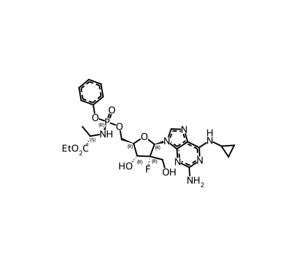 CCOC(=O)[C@H](C)N[P@@](=O)(OC[C@H]1O[C@@H](n2cnc3c(NC4CC4)nc(N)nc32)[C@@](F)(CO)[C@@H]1O)Oc1ccccc1